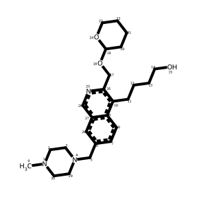 CN1CCN(Cc2ccc3c(CCCCO)c(COC4CCCCO4)ncc3c2)CC1